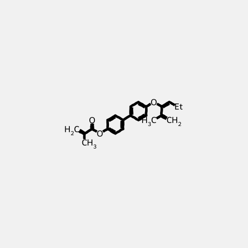 C=C(C)C(=O)Oc1ccc(-c2ccc(OC(=CCC)C(=C)C)cc2)cc1